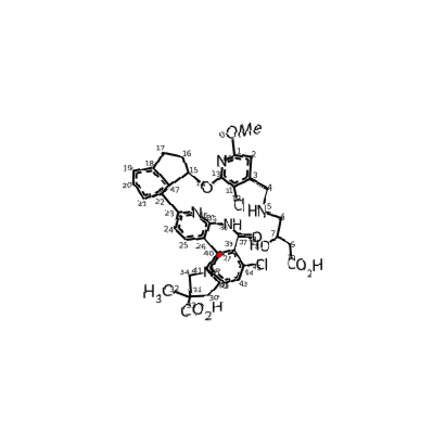 COc1cc(CNCC(O)CC(=O)O)c(Cl)c(OC2CCc3cccc(-c4ccc(CN5CCC(C)(C(=O)O)C5)c(NC(=O)c5ccccc5Cl)n4)c32)n1